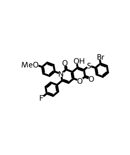 COc1ccc(-n2c(-c3ccc(F)cc3)cc3oc(=O)c(Sc4ccccc4Br)c(O)c3c2=O)cc1